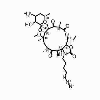 C=C1C(=O)[C@H](C)C[C@@](C)(OC)[C@H](O[C@@H]2O[C@H](C)CC(N)C2O)[C@@H](C)C(=O)[C@@H](C)C(=O)O[C@H](CC)[C@@]2(C)OC(=O)N(CCCCN=[N+]=[N-])[C@H]12